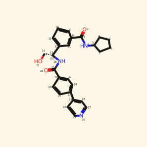 O=C(NC1CCCC1)c1cccc([C@@H](CO)NC(=O)c2ccc(-c3ccncc3)cc2)c1